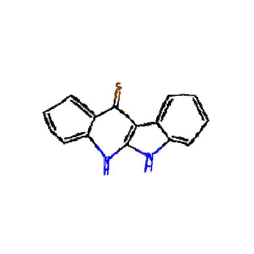 S=c1c2ccccc2[nH]c2[nH]c3ccccc3c12